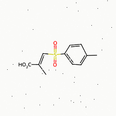 CC(=CS(=O)(=O)c1ccc(C)cc1)C(=O)O